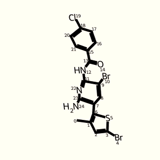 Cc1cc(Br)sc1-c1cc(Br)c(NC(=O)c2ccc(Cl)cc2)nc1N